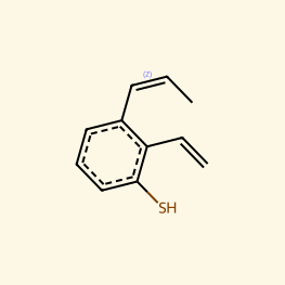 C=Cc1c(S)cccc1/C=C\C